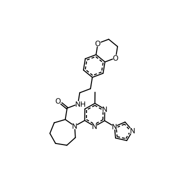 Cc1cc(N2CCCCCC2C(=O)NCCc2ccc3c(c2)OCCO3)nc(-n2ccnc2)n1